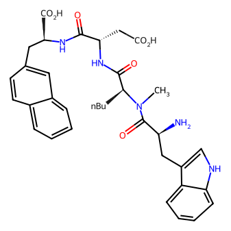 CCCC[C@@H](C(=O)N[C@@H](CC(=O)O)C(=O)N[C@@H](Cc1ccc2ccccc2c1)C(=O)O)N(C)C(=O)[C@@H](N)Cc1c[nH]c2ccccc12